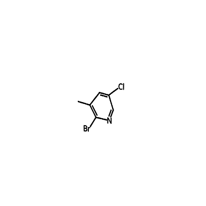 Cc1cc(Cl)cnc1Br